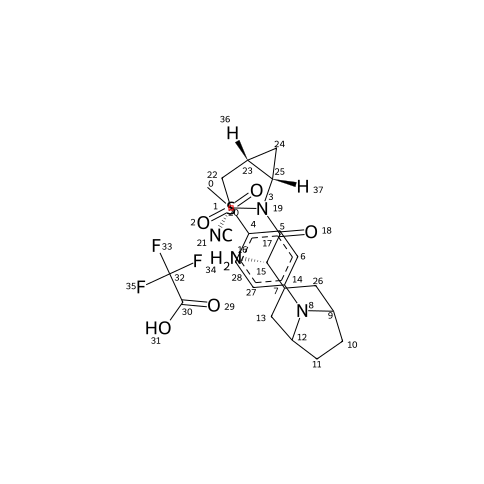 CS(=O)(=O)c1ccc(N2C3CCC2CC([C@H](N)C(=O)N2[C@H](C#N)C[C@@H]4C[C@@H]42)C3)cc1.O=C(O)C(F)(F)F